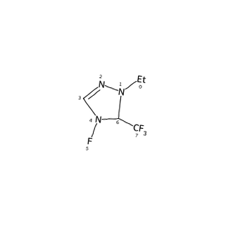 CCN1N=CN(F)C1C(F)(F)F